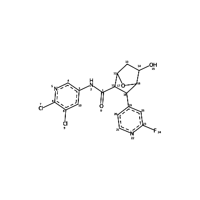 O=C(Nc1cnc(Cl)c(Cl)c1)C1C2CC(O)C(O2)C1c1ccnc(F)c1